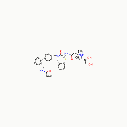 CNC(=O)NCc1ccccc1-c1ccc(CN2Cc3ccccc3S[C@@H](NC(=O)CC(C)(C)NC[C@H](O)CO)C2=O)cc1